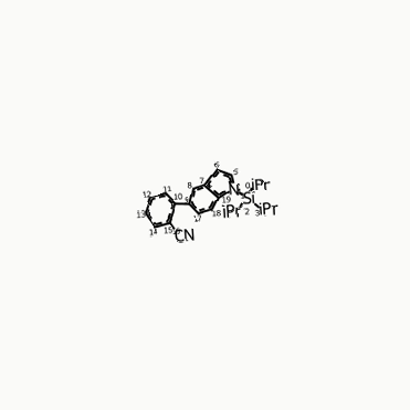 CC(C)[Si](C(C)C)(C(C)C)n1ccc2cc(-c3ccccc3C#N)ccc21